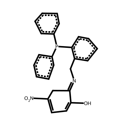 O=[N+]([O-])C1=CC=C(O)C(=NCc2ccccc2P(c2ccccc2)c2ccccc2)C1